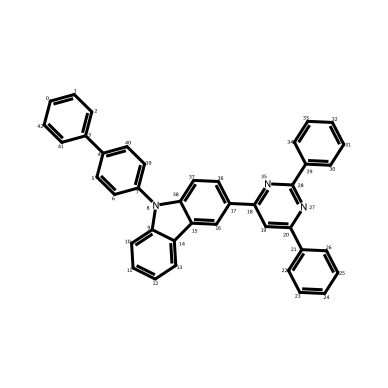 c1ccc(-c2ccc(-n3c4ccccc4c4cc(-c5cc(-c6ccccc6)nc(-c6ccccc6)n5)ccc43)cc2)cc1